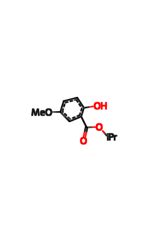 COc1ccc(O)c(C(=O)OC(C)C)c1